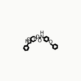 O=C(Nc1ccc(OCc2ccccc2)cc1)ON1CCC2(CC1)CC(c1ccccc1)=NO2